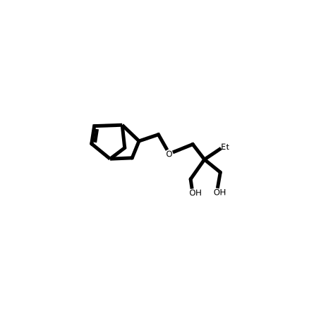 CCC(CO)(CO)COCC1CC2C=CC1C2